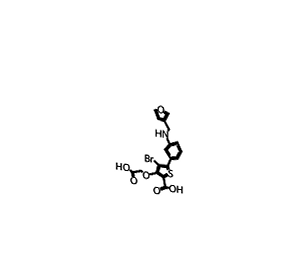 O=C(O)COc1c(C(=O)O)sc(-c2cccc(NCc3ccoc3)c2)c1Br